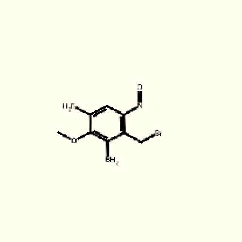 Bc1cc(N=O)c(CBr)c(B)c1OC